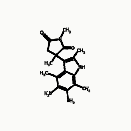 Bc1c(B)c(C)c2c(C3(C)CC(=O)N(C)C3=O)c(C)[nH]c2c1C